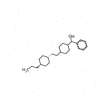 CCC[C@H]1CC[C@H](CCC2CCC(C(O)c3ccccc3)CC2)CC1